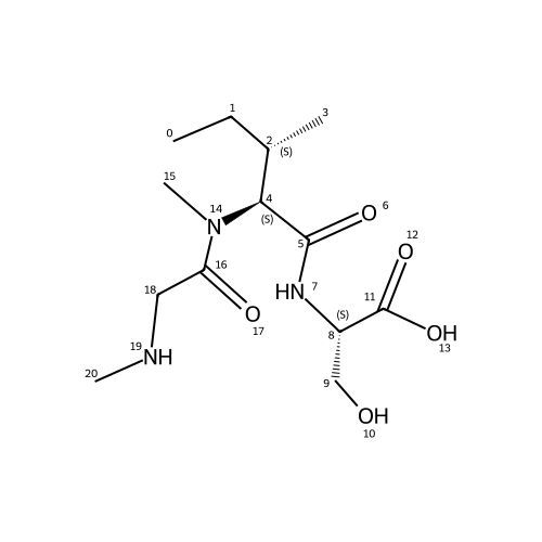 CC[C@H](C)[C@@H](C(=O)N[C@@H](CO)C(=O)O)N(C)C(=O)CNC